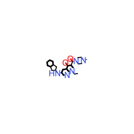 CCn1cc(C(=O)N2CCN(C)CC2)c(=O)c2cc(NC3Cc4ccccc4C3)cnc21